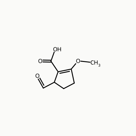 COC1=C(C(=O)O)C(C=O)CC1